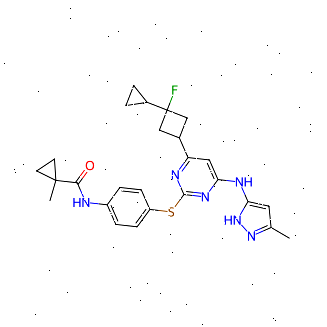 Cc1cc(Nc2cc(C3CC(F)(C4CC4)C3)nc(Sc3ccc(NC(=O)C4(C)CC4)cc3)n2)[nH]n1